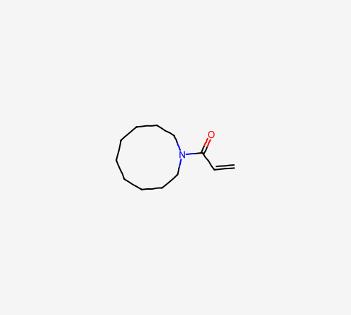 C=CC(=O)N1CCCCCCCCC1